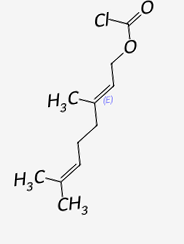 CC(C)=CCC/C(C)=C/COC(=O)Cl